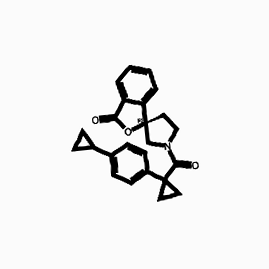 O=C1O[C@]2(CCN(C(=O)C3(c4ccc(C5CC5)cc4)CC3)C2)c2ccccc21